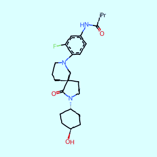 CC(C)C(=O)Nc1ccc(N2CCC[C@]3(CCN([C@H]4CC[C@H](O)CC4)C3=O)C2)c(F)c1